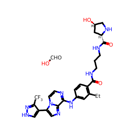 CCc1cc(Nc2nccn3c(-c4c[nH]nc4C(F)(F)F)cnc23)ccc1C(=O)NCCCNC(=O)[C@@H]1C[C@@H](O)CN1.O=CO